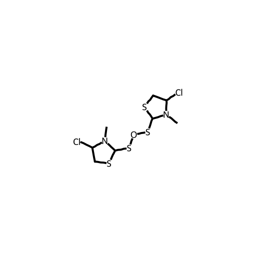 CN1C(Cl)CSC1SOSC1SCC(Cl)N1C